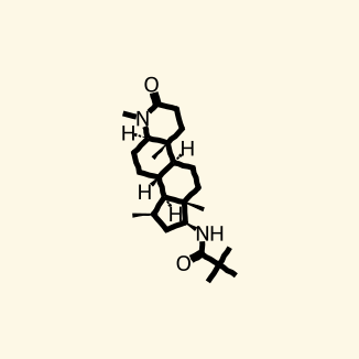 C[C@@H]1C[C@H](NC(=O)C(C)(C)C)[C@@]2(C)CC[C@H]3[C@@H](CC[C@H]4N(C)C(=O)CC[C@]34C)[C@H]12